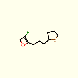 FC1=C(CCCC2CCCS2)OC1